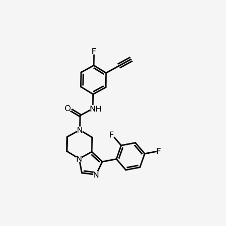 C#Cc1cc(NC(=O)N2CCn3cnc(-c4ccc(F)cc4F)c3C2)ccc1F